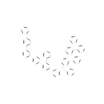 c1cc(-c2ccc3c(c2)oc2ccccc23)cc(-c2ccc3c4ccc(-c5cccc(-n6c7ccccc7c7c(-c8ccccc8-c8cccc9c%10ccccc%10c%10ccccc%10c89)cccc76)c5)cc4c4ccccc4c3c2)c1